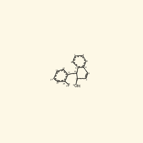 OC1C=Cc2ccccc2C1c1ccccc1F